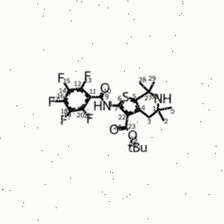 CC1(C)Cc2c(sc(NC(=O)c3c(F)c(F)c(F)c(F)c3F)c2C(=O)OC(C)(C)C)C(C)(C)N1